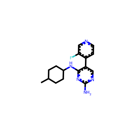 CC1CCC(Nc2nc(N)ncc2-c2ccncc2F)CC1